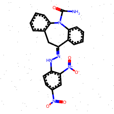 NC(=O)N1c2ccccc2CC(=NNc2ccc([N+](=O)[O-])cc2[N+](=O)[O-])c2ccccc21